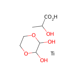 CC(O)C(=O)O.OC1OCCOC1O.[Ti]